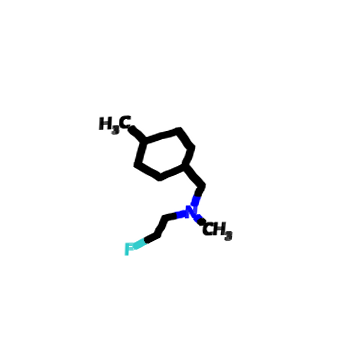 CC1CCC(CN(C)CCF)CC1